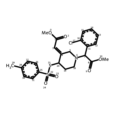 COC(=O)C=C1CN(C(C(=O)OC)c2ccccc2Cl)CCC1SS(=O)(=O)c1ccc(C)cc1